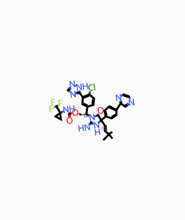 CC(C)(C)/C=C/C1(c2ccc(-c3cnccn3)cc2)NC(=N)N([C@H](COC(=O)NC2(C(F)(F)F)CC2)c2ccc(Cl)c(-c3ncn[nH]3)c2)C1=O